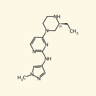 CC[C@H]1CN(c2ccnc(Nc3cnn(C)c3)n2)CCN1